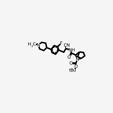 CN1CCC(c2ccc(C[C@@H](C#N)NC(=O)C3C4CCC(C4)N3C(=O)OC(C)(C)C)c(F)c2)CC1